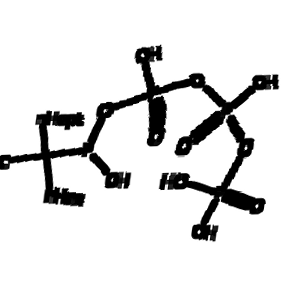 CCCCCCCC(C)(CCCCCC)P(O)OP(=O)(O)OP(=O)(O)OP(=O)(O)O